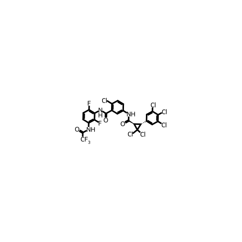 O=C(Nc1c(F)ccc(NC(=O)C(F)(F)F)c1F)c1cc(NC(=O)[C@H]2[C@H](c3cc(Cl)c(Cl)c(Cl)c3)C2(Cl)Cl)ccc1Cl